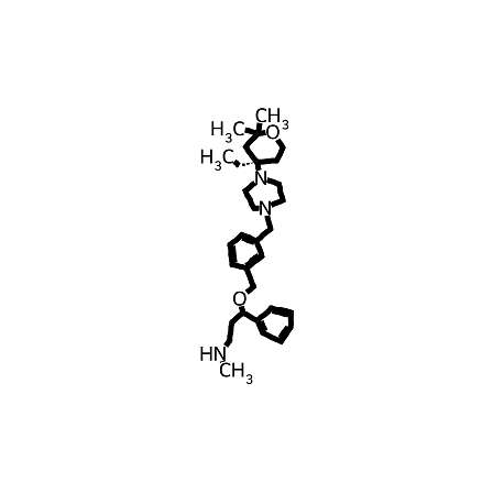 CC[C@@]1(N2CCN(Cc3cccc(COC(CCNC)c4ccccc4)c3)CC2)CCOC(C)(C)C1